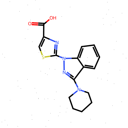 O=C(O)c1csc(-n2nc(N3CCCCC3)c3ccccc32)n1